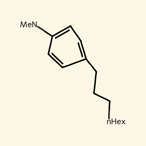 CCCCCCCCCc1ccc(NC)cc1